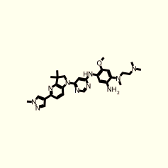 COc1cc(N(C)CCN(C)C)c(N)cc1Nc1cc(N2CC(C)(C)c3nc(-c4cnn(C)c4)ccc32)ncn1